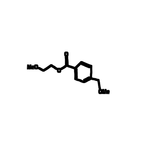 COCCOC(=O)c1ccc(COC)cc1